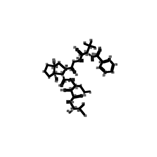 CCC[C@H](NC(=O)[C@@H]1[C@H]2CCC[C@H]2CN1C(=O)CNC(=O)[C@@H](NC(=O)c1cnccn1)C(C)(C)C)C(=O)C(=O)N[C@@H](C)C(C)C